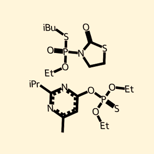 CCOP(=O)(SC(C)CC)N1CCSC1=O.CCOP(=S)(OCC)Oc1cc(C)nc(C(C)C)n1